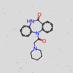 O=C1Nc2ccccc2N(C(=O)CN2CCCCC2)c2ccccc21